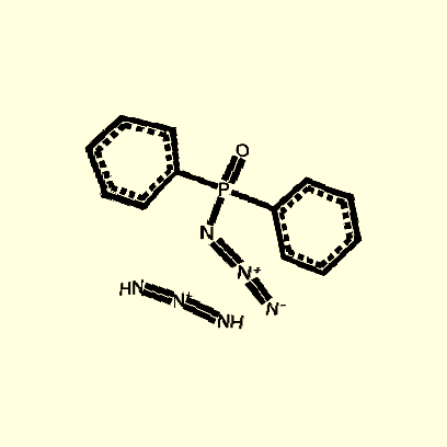 N=[N+]=N.[N-]=[N+]=NP(=O)(c1ccccc1)c1ccccc1